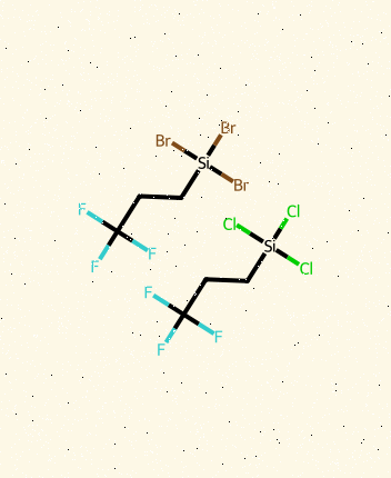 FC(F)(F)CC[Si](Br)(Br)Br.FC(F)(F)CC[Si](Cl)(Cl)Cl